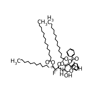 CCCCCCCCCCCCCC(=O)O[C@H]1[C@H](OP(=O)(c2ccccc2)c2ccccc2)[C@@H](CO)OC(O)[C@@H]1NC(=O)[C@H](F)[C@H](CCCCCCCCCCC)OC(=O)CCCCCCCCCCCCC